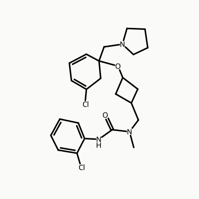 CN(CC1CC(OC2(CN3CCCC3)C=CC=C(Cl)C2)C1)C(=O)Nc1ccccc1Cl